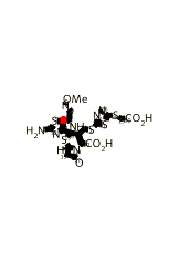 CON=CC(=O)NC1(c2csc(N)n2)S[C@H]2CC(=O)N2C(C(=O)O)=C1CSc1nnc(SCC(=O)O)s1